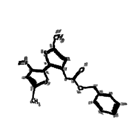 CCc1cc(C)sc1-c1sc(C)cc1CC(=O)OCc1ccccc1